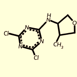 CC1COCC1Nc1nc(Cl)nc(Cl)n1